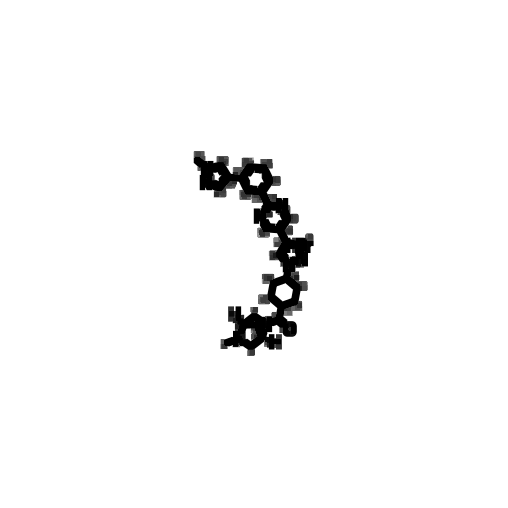 Br.CN1C[C@H]2C[C@H]1CN2C(=O)C1CCC(n2cc(-c3cnc(-c4cccc(-c5cnn(C)c5)c4)nc3)cn2)CC1